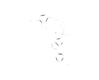 COc1ccc(C2OCc3c2cnc(C(C#N)(CCCN(C)CCc2ccc(OC)c(OC)c2)C(C)C)c3O)cc1